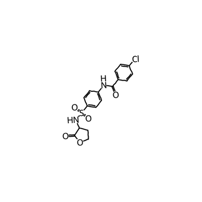 O=C(Nc1ccc(S(=O)(=O)NC2CCOC2=O)cc1)c1ccc(Cl)cc1